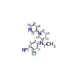 CCN(c1ccc(C#N)c(Cl)c1)C1CCCN(c2cccnc2)C1